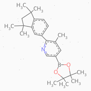 Cc1cc(B2OC(C)(C)C(C)(C)O2)cnc1-c1ccc2c(c1)C(C)(C)CC2(C)C